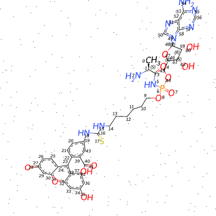 C[C@H](N)C(=O)NP(=O)(OCCCCCCNC(=S)Nc1ccc(-c2c3ccc(=O)cc-3oc3cc(O)ccc23)c(C(=O)O)c1)OC[C@H]1O[C@@H](n2cnc3c(N)ncnc32)[C@H](O)[C@@H]1O